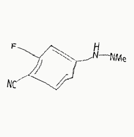 CNNc1ccc(C#N)c(F)c1